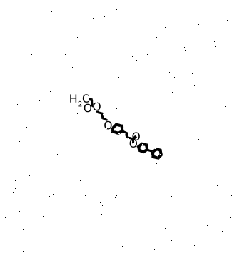 C=CC(=O)OCCCCOc1ccc(/C=C/C(=O)Oc2ccc(-c3ccccc3)cc2)cc1